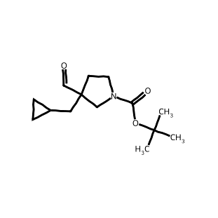 CC(C)(C)OC(=O)N1CCC(C=O)(CC2CC2)C1